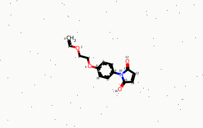 C=COCCOc1ccc(N2C(=O)C=CC2=O)cc1